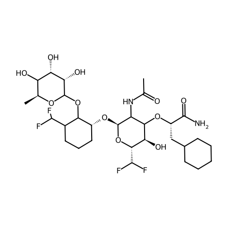 CC(=O)NC1C(O[C@@H](CC2CCCCC2)C(N)=O)[C@@H](O)[C@H](C(F)F)O[C@H]1O[C@@H]1CCCC(C(F)F)C1OC1O[C@@H](C)C(O)[C@H](O)[C@@H]1O